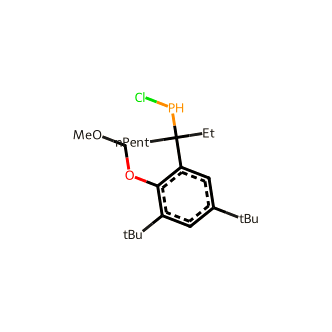 CCCCCC(CC)(PCl)c1cc(C(C)(C)C)cc(C(C)(C)C)c1OCOC